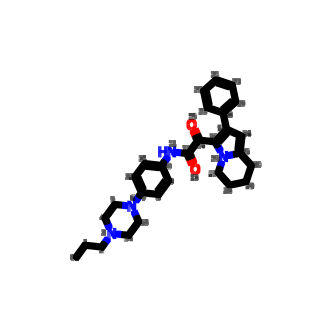 CCCN1CCN(c2ccc(NC(=O)C(=O)c3c(-c4ccccc4)cc4n3CCCC4)cc2)CC1